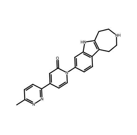 Cc1ccc(-c2ccn(-c3ccc4c5c([nH]c4c3)CCNCC5)c(=O)c2)nn1